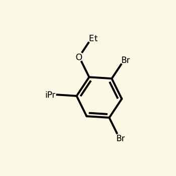 [CH2]COc1c(Br)cc(Br)cc1C(C)C